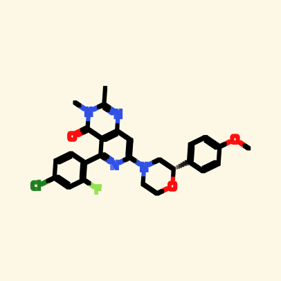 COc1ccc([C@H]2CN(c3cc4nc(C)n(C)c(=O)c4c(-c4ccc(Cl)cc4F)n3)CCO2)cc1